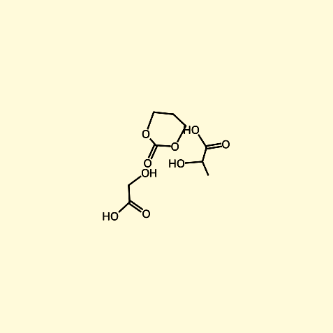 CC(O)C(=O)O.O=C(O)CO.O=C1OCCCO1